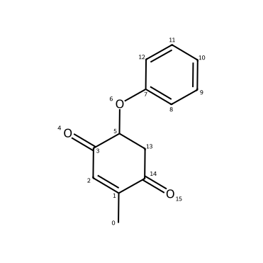 CC1=CC(=O)C(Oc2ccccc2)CC1=O